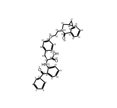 O=C(c1ccccc1)c1ccccc1N[C@@H](Cc1ccc(OCCN(CC2CC2)C(=O)c2cccnc2)cc1)C(=O)O